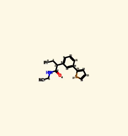 CC(C)CC(C(=O)NCC#N)c1cccc(-c2cccs2)c1